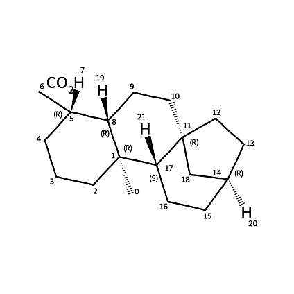 C[C@]12CCC[C@@](C)(C(=O)O)[C@@H]1CC[C@@]13CC[C@@H](CC[C@@H]12)C3